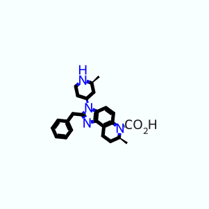 C[C@H]1C[C@@H](n2c(Cc3ccccc3)nc3c4c(ccc32)N(C(=O)O)[C@@H](C)CC4)CCN1